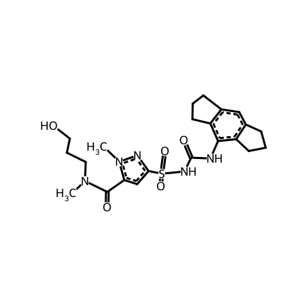 CN(CCCO)C(=O)c1cc(S(=O)(=O)NC(=O)Nc2c3c(cc4c2CCC4)CCC3)nn1C